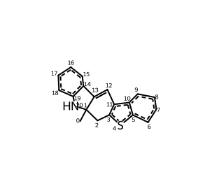 CC12Cc3sc4ccccc4c3C=C1c1ccccc1N2